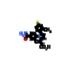 Cc1cc(F)ccc1-c1ccc(CCC(=O)O)n1-c1ccc(C(N)=O)cc1C